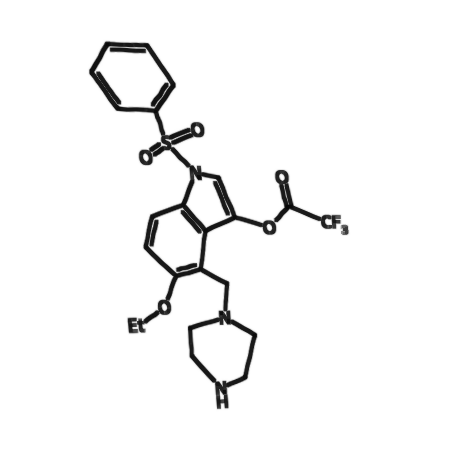 CCOc1ccc2c(c(OC(=O)C(F)(F)F)cn2S(=O)(=O)c2ccccc2)c1CN1CCNCC1